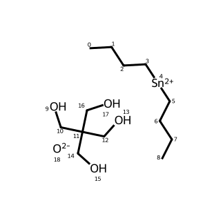 CCC[CH2][Sn+2][CH2]CCC.OCC(CO)(CO)CO.[O-2]